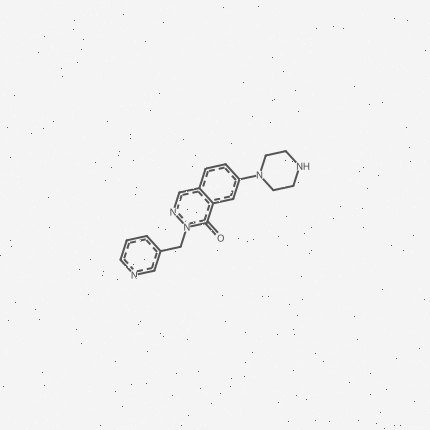 O=c1c2cc(N3CCNCC3)ccc2cnn1Cc1cccnc1